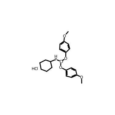 COc1ccc([O][Cr]([O]c2ccc(OC)cc2)[PH]C2CCCCC2)cc1.Cl